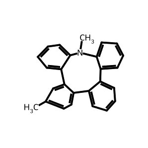 Cc1ccc2c3ccccc3c3ccccc3n(C)c3ccccc3c2c1